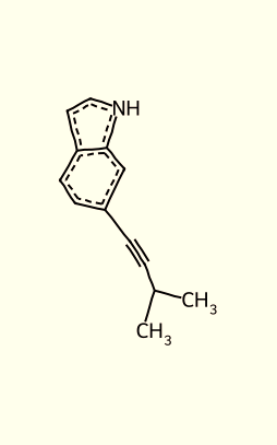 CC(C)C#Cc1ccc2cc[nH]c2c1